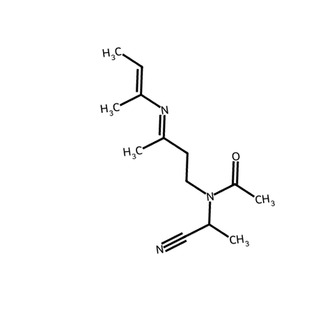 C/C=C(C)/N=C(\C)CCN(C(C)=O)C(C)C#N